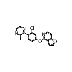 Cc1nccnc1-c1ccc(Oc2nccc3occc23)cc1Cl